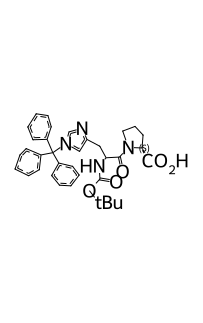 CC(C)(C)OC(=O)NC(Cc1cn(C(c2ccccc2)(c2ccccc2)c2ccccc2)cn1)C(=O)N1CCC[C@H]1C(=O)O